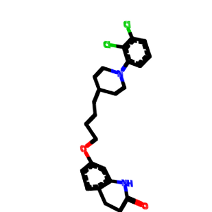 O=C1CCc2ccc(OCCCCC3CCN(c4cccc(Cl)c4Cl)CC3)cc2N1